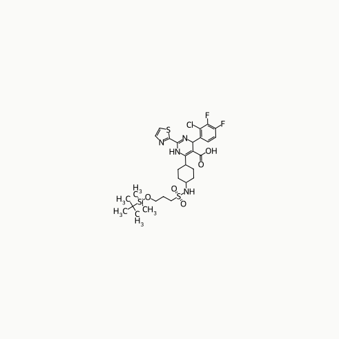 CC(C)(C)[Si](C)(C)OCCCS(=O)(=O)NC1CCC(C2=C(C(=O)O)C(c3ccc(F)c(F)c3Cl)N=C(c3nccs3)N2)CC1